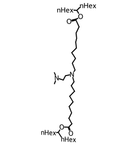 CCCCCCC(CCCCCC)OC(=O)CCCCCCCCCN(CCCCCCCCCC(=O)OC(CCCCCC)CCCCCC)CCN(C)C